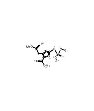 CCOP(=S)(OCC)Oc1nc(CC(=O)OC)c(C(=O)OC)s1